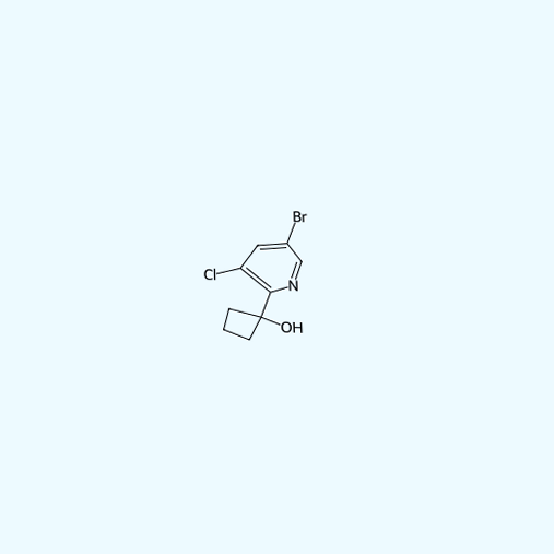 OC1(c2ncc(Br)cc2Cl)CCC1